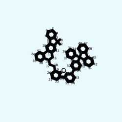 CC1(C)c2ccccc2-c2cc3c(cc21)CC(CCc1cccc2c1oc1c(-c4ccc(C5(c6ccccc6)c6ccccc6-c6ccccc65)cc4)cccc12)c1ccccc1-3